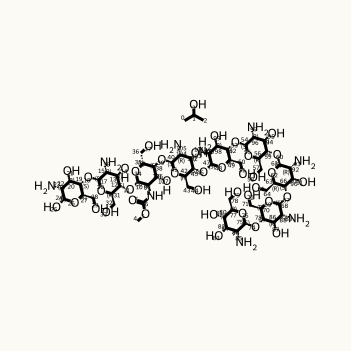 CC(C)O.COC(=O)N[C@H]1[C@H](O[C@H]2[C@H](O)[C@@H](N)[C@H](O[C@H]3[C@H](O)[C@@H](N)[C@H](O)O[C@@H]3CO)O[C@@H]2CO)O[C@H](CO)[C@@H](O[C@@H]2O[C@H](CO)[C@@H](O[C@@H]3O[C@H](CO)[C@@H](O[C@@H]4O[C@H](CO)[C@@H](O[C@@H]5O[C@H](CO)[C@@H](O[C@@H]6O[C@H](CO)[C@@H](O[C@@H]7O[C@H](CO)[C@@H](O)[C@H](O)[C@H]7N)[C@H](O)[C@H]6N)[C@H](O)[C@H]5N)[C@H](O)[C@H]4N)[C@H](O)[C@H]3N)[C@H](O)[C@H]2N)[C@@H]1O